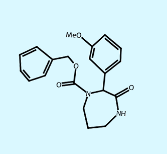 COc1cccc(C2C(=O)NCCCN2C(=O)OCc2ccccc2)c1